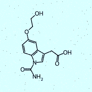 NC(=O)n1cc(CC(=O)O)c2cc(OCCO)ccc21